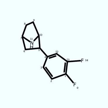 Fc1ccc(C2CC3CCC2N3)cc1F